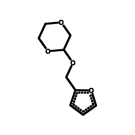 c1coc(COC2COCCO2)c1